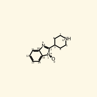 O=[N+]1C(C2CCNCC2)=Nc2ccccc21